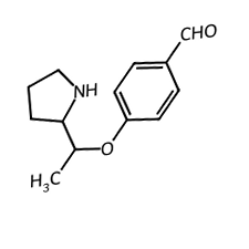 CC(Oc1ccc(C=O)cc1)C1CCCN1